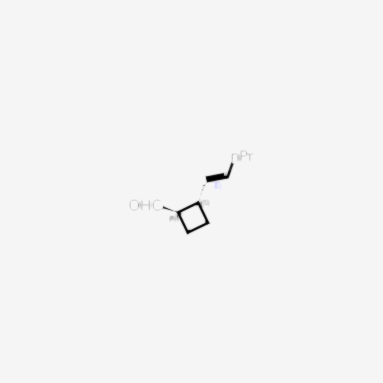 CCC/C=C/[C@@H]1CC[C@H]1C=O